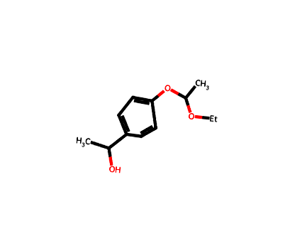 CCOC(C)Oc1ccc(C(C)O)cc1